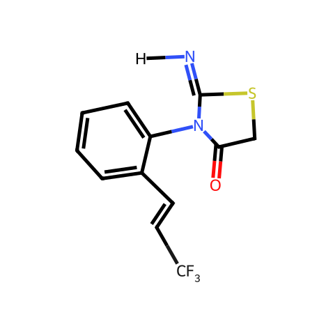 [H]/N=C1/SCC(=O)N1c1ccccc1C=CC(F)(F)F